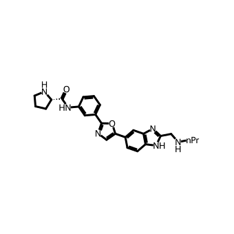 CCCNCc1nc2cc(-c3cnc(-c4cccc(NC(=O)[C@@H]5CCCN5)c4)o3)ccc2[nH]1